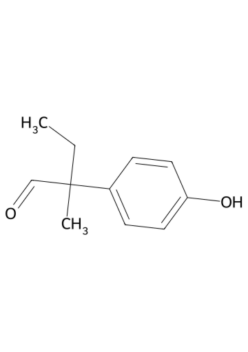 CCC(C)(C=O)c1ccc(O)cc1